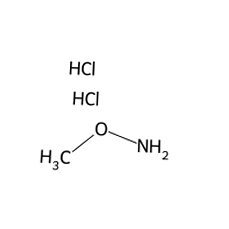 CON.Cl.Cl